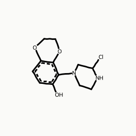 Oc1ccc2c(c1N1CCNC(Cl)C1)OCCO2